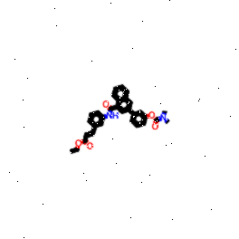 CCOC(=O)/C=C/c1cccc(NC(=O)c2cc(-c3cccc(OC(=O)N(C)C)c3)cc3ccccc23)c1